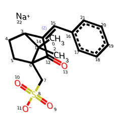 CC1(C)C2CCC1(CS(=O)(=O)[O-])C(=O)/C2=C\c1ccccc1.[Na+]